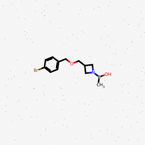 CB(O)N1CC(COCc2ccc(Br)cc2)C1